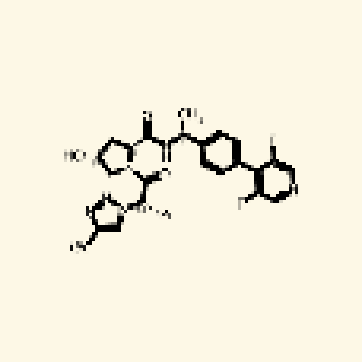 CC(C)[C@@H](C(=O)N1C[C@H](O)C[C@H]1C(=O)N[C@@H](C)c1ccc(-c2c(F)cncc2F)cc1)n1cc(C(C)(C)C)nn1